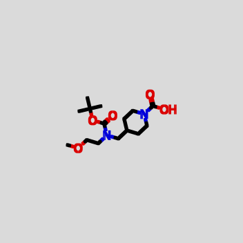 COCCN(CC1CCN(C(=O)O)CC1)C(=O)OC(C)(C)C